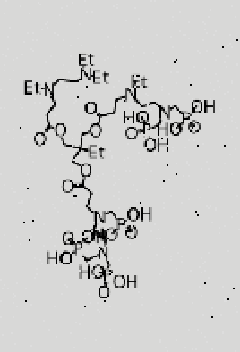 CCN(CC)CCN(CC)CCC(=O)OCC(CC)(COC(=O)CCN(CC)CCN(CP(=O)(O)O)CP(=O)(O)O)COC(=O)CCN(CCN(CP(=O)(O)O)CP(=O)(O)O)CP(=O)(O)O